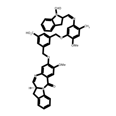 COc1cc2c(cc1OCc1cc(COc3cc(/N=C\C4Cc5ccccc5N4C=O)c(C)cc3OC)cc(C(=O)O)c1)N=C[C@@H]1Cc3ccccc3N1C2=O